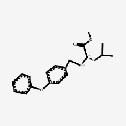 COC(=O)[C@H](CC(C)C)NCc1ccc(Oc2ccccc2)cc1